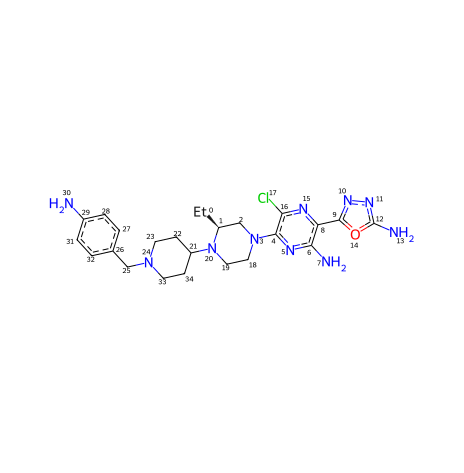 CC[C@H]1CN(c2nc(N)c(-c3nnc(N)o3)nc2Cl)CCN1C1CCN(Cc2ccc(N)cc2)CC1